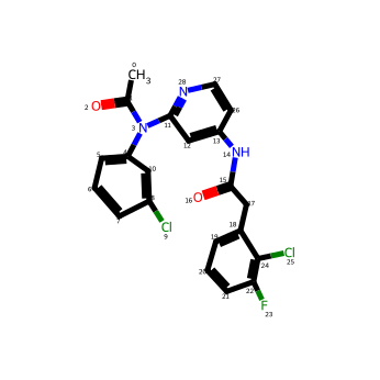 CC(=O)N(c1cccc(Cl)c1)c1cc(NC(=O)Cc2cccc(F)c2Cl)ccn1